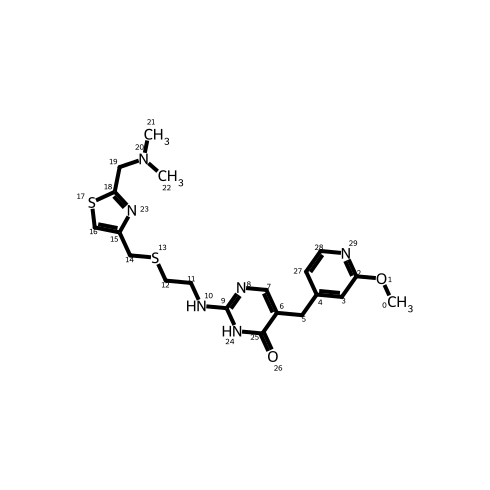 COc1cc(Cc2cnc(NCCSCc3csc(CN(C)C)n3)[nH]c2=O)ccn1